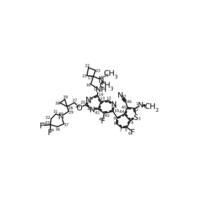 C=Nc1sc2c(F)ccc(-c3ncc4c(NCC5(N(C)C)CCC5)nc(OCC5(CN6CCC(F)(F)CC6)CC5)nc4c3F)c2c1C#N